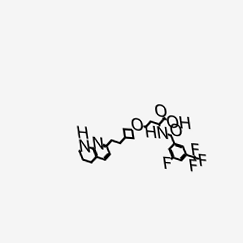 O=C(NC(CCOC1CC(CCc2ccc3c(n2)NCCC3)C1)C(=O)O)c1cc(F)cc(C(F)(F)F)c1